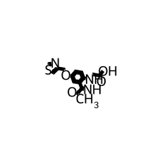 CC(=O)C(=N)c1cc(OCc2cscn2)ccc1NCC(=O)O